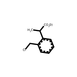 CCOC(=O)C(C)c1ccccc1CCl